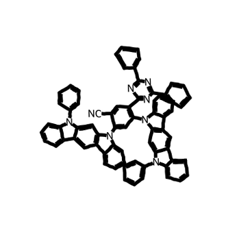 N#Cc1cc(-c2nc(-c3ccccc3)nc(-c3ccccc3)n2)c(-n2c3ccccc3c3cc4c5ccccc5n(-c5ccccc5)c4cc32)cc1-n1c2ccccc2c2cc3c4ccccc4n(-c4ccccc4)c3cc21